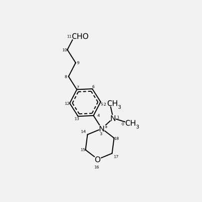 CN(C)[N+]1(c2ccc(CCCC=O)cc2)CCOCC1